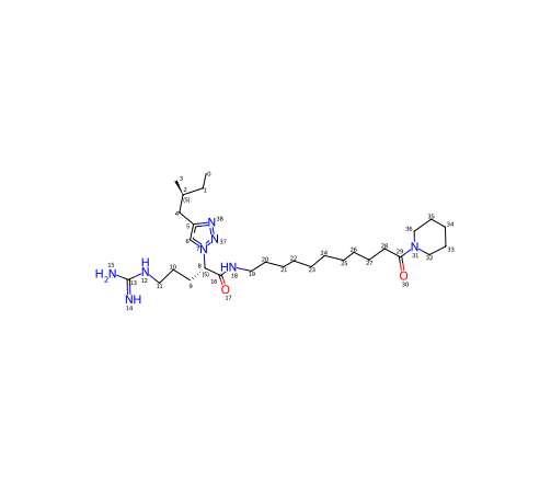 CC[C@H](C)Cc1cn([C@@H](CCCNC(=N)N)C(=O)NCCCCCCCCCCC(=O)N2CCCCC2)nn1